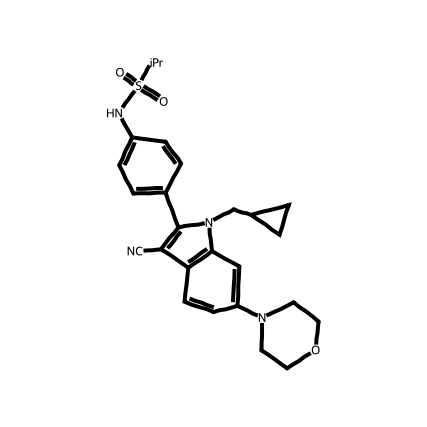 CC(C)S(=O)(=O)Nc1ccc(-c2c(C#N)c3ccc(N4CCOCC4)cc3n2CC2CC2)cc1